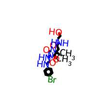 CC(C)C1(CC(=O)NCCO)NC(=O)N(NC(=O)Nc2ccc(Br)cc2)C1=O